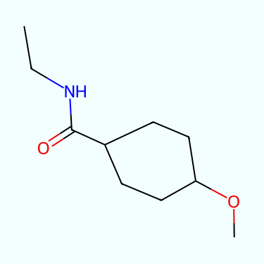 CCNC(=O)C1CCC(OC)CC1